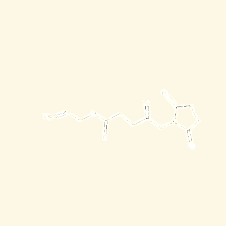 O=C(CCC(=O)ON1C(=O)CCC1=O)OCC=P